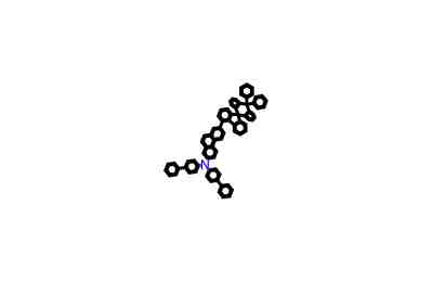 c1ccc(-c2ccc(N(c3ccc(-c4ccccc4)cc3)c3ccc4c(ccc5cc(-c6cccc7c6-c6ccccc6C76c7ccccc7C(c7ccccc7)(c7ccccc7)c7ccccc76)ccc54)c3)cc2)cc1